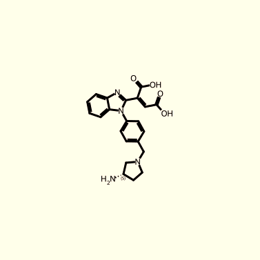 N[C@H]1CCN(Cc2ccc(-n3c(C(=CC(=O)O)C(=O)O)nc4ccccc43)cc2)C1